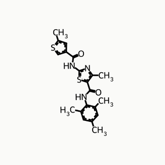 Cc1cc(C)c(NC(=O)c2sc(NC(=O)c3csc(C)c3)nc2C)c(C)c1